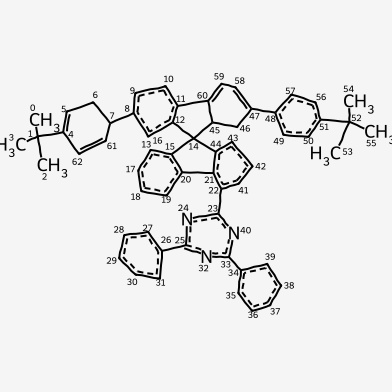 CC(C)(C)C1=CCC(c2ccc3c(c2)C2(c4ccccc4-c4c(-c5nc(-c6ccccc6)nc(-c6ccccc6)n5)cccc42)C2CC(c4ccc(C(C)(C)C)cc4)=CC=C32)C=C1